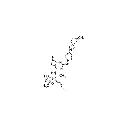 C/C=C\C=C(/C(C)N/C=C1\C=CN\C1=N\C(=N)Nc1ccc(N2CC3(CCN(C)C3)C2)cc1)N(C)S(C)(=O)=O